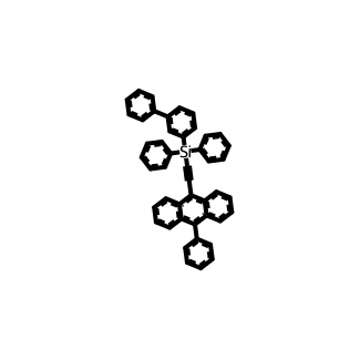 C(#C[Si](c1ccccc1)(c1ccccc1)c1cccc(-c2ccccc2)c1)c1c2ccccc2c(-c2ccccc2)c2ccccc12